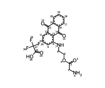 NCC(=O)OCCNc1cccc2c1C(=O)c1ccccc1C2=O.O=C(O)C(F)(F)F